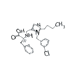 CCCCc1ncc(CN[C@@H](Cc2ccccc2)C(=O)O)n1Cc1cccc(Cl)c1